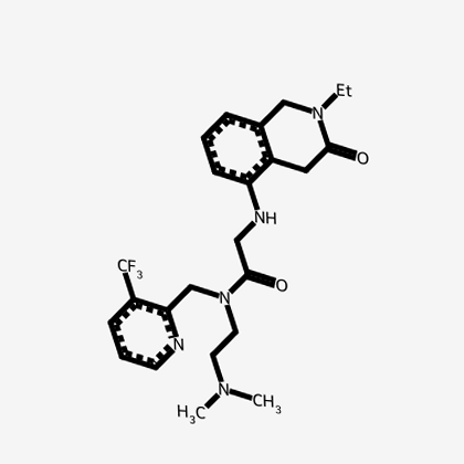 CCN1Cc2cccc(NCC(=O)N(CCN(C)C)Cc3ncccc3C(F)(F)F)c2CC1=O